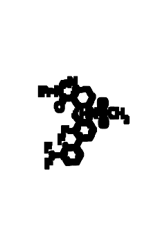 CC(C)n1cnc2c(c1=O)[C@@H](Cc1cccc(-c3cccc(C(F)F)c3F)c1F)[C@@H](NS(C)(=O)=O)CC2